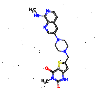 CNc1nccc2cc(N3CCN(Cc4cc5[nH]c(=O)n(C)c(=O)c5s4)CC3)cnc12